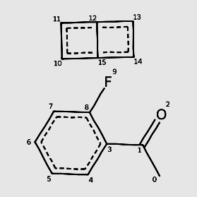 CC(=O)c1ccccc1F.c1cc2ccc1-2